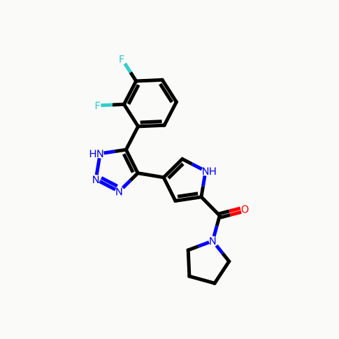 O=C(c1cc(-c2nn[nH]c2-c2cccc(F)c2F)c[nH]1)N1CCCC1